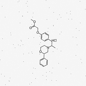 COC(=O)COc1ccc(CC(C)N2CCOC(c3ccccc3)C2)cc1.Cl